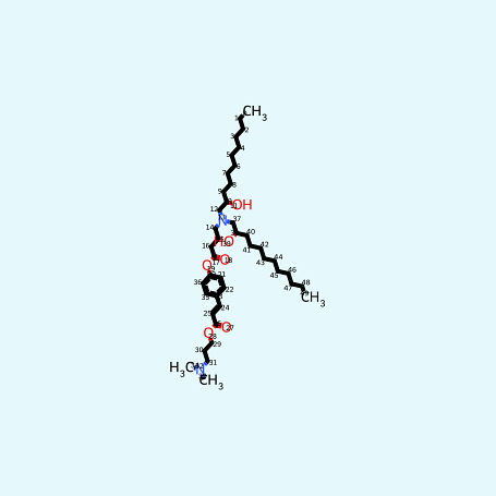 CCCCCCCCCCC(O)CN(CCCC(=O)Oc1ccc(/C=C/C(=O)OCCCN(C)C)cc1)CC(O)CCCCCCCCCC